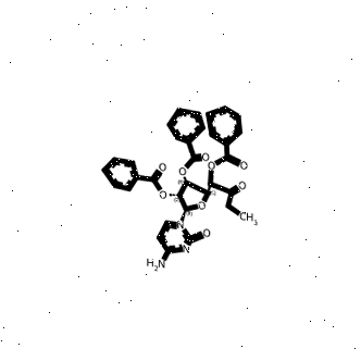 CCC(=O)C(OC(=O)c1ccccc1)[C@H]1O[C@@H](n2ccc(N)nc2=O)[C@H](OC(=O)c2ccccc2)[C@@H]1OC(=O)c1ccccc1